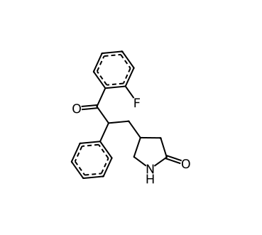 O=C1CC(CC(C(=O)c2ccccc2F)c2ccccc2)CN1